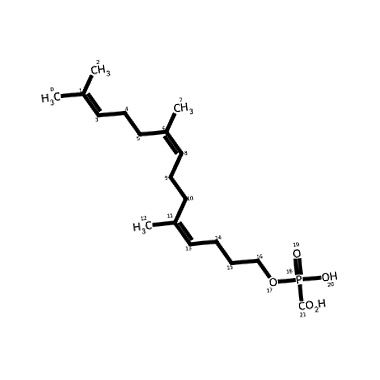 CC(C)=CCCC(C)=CCCC(C)=CCCCOP(=O)(O)C(=O)O